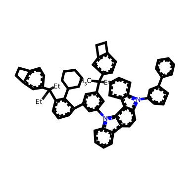 CCC(C)(c1cc(-c2cccc(C(CC)(CC)c3ccc4c(c3)CC4)c2C2CCCCC2)cc(-n2c3ccccc3c3ccc4c(c5ccccc5n4-c4cccc(-c5ccccc5)c4)c32)c1)c1ccc2c(c1)CC2